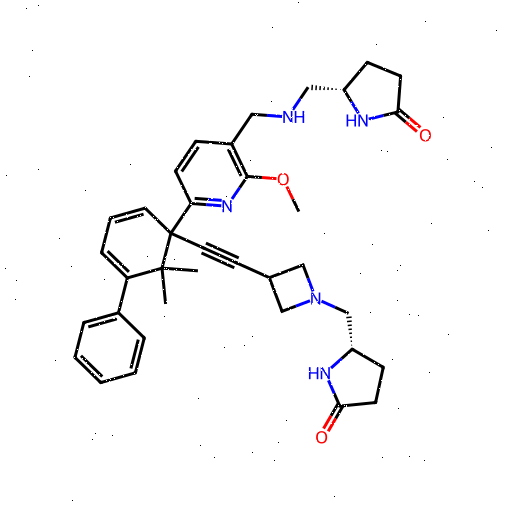 COc1nc(C2(C#CC3CN(C[C@@H]4CCC(=O)N4)C3)C=CC=C(c3ccccc3)C2(C)C)ccc1CNC[C@@H]1CCC(=O)N1